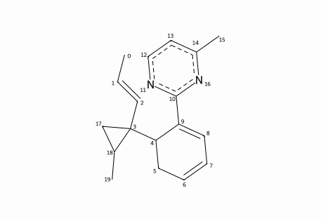 CC=CC1(C2CC=CC=C2c2nccc(C)n2)CC1C